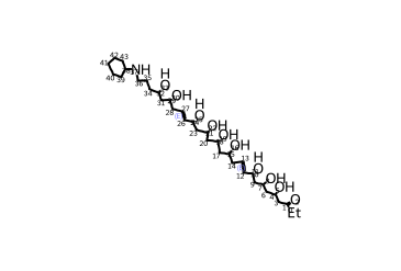 CCC(=O)CC(O)CC(O)CC(O)/C=C/CC(O)CC(O)CC(O)CC(O)/C=C/CC(O)CC(O)CCCNC1CCCCC1